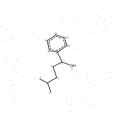 CC(C)CCC(O)c1cccnc1